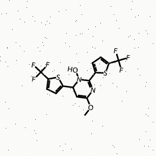 COC1=CC(c2ccc(C(F)(F)F)s2)N(O)C(c2ccc(C(F)(F)F)s2)=N1